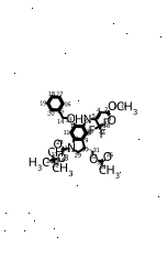 COC(=O)/C=C(/Nc1cc2c(cc1OCc1ccccc1)N(C(=O)OC(C)(C)C)C[C@H]2COC(C)=O)C(F)(F)F